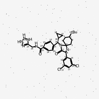 CC(C)(C)C1CCC2(CC1)N=C(c1cc(Cl)cc(Cl)c1)C(=O)N2[C@@H](c1ccc(C(=O)NCC2=NNNN2)cc1)C1CC1